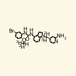 [2H]C([2H])([2H])Oc1ccc(Br)cc1NC(=O)Nc1cccc2c1ccn2C([2H])([2H])c1ccnc(N)c1